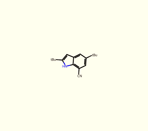 CC(C)(C)c1cc(C#N)c2[nH]c(C(C)(C)C)cc2c1